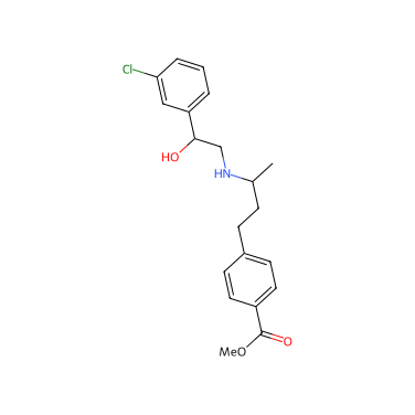 COC(=O)c1ccc(CCC(C)NCC(O)c2cccc(Cl)c2)cc1